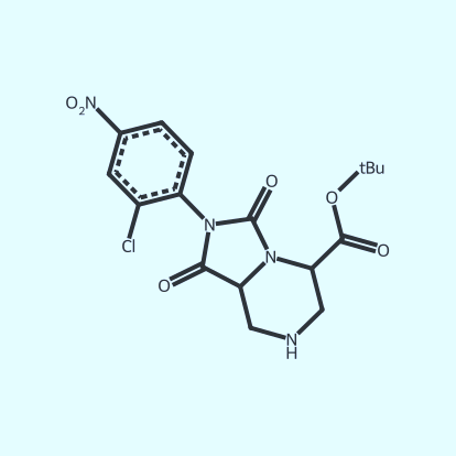 CC(C)(C)OC(=O)C1CNCC2C(=O)N(c3ccc([N+](=O)[O-])cc3Cl)C(=O)N12